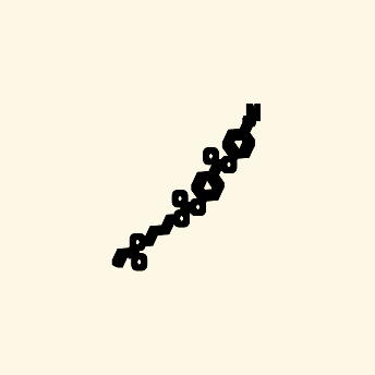 C=CC(=O)OCCCCOC(=O)Oc1ccc(C(=O)Oc2ccc(C#N)cc2)cc1